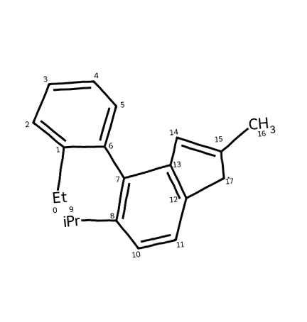 CCc1ccccc1-c1c(C(C)C)ccc2c1C=C(C)[CH]2